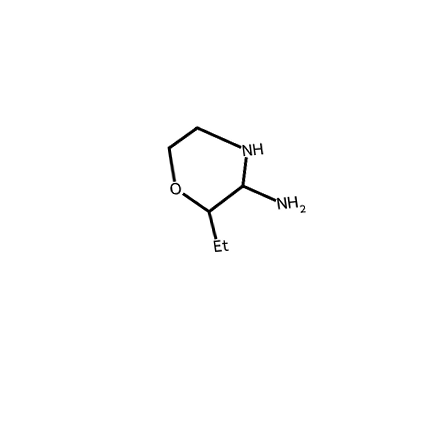 CCC1OCCNC1N